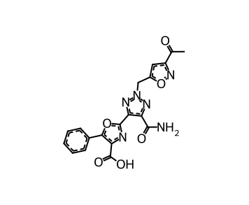 CC(=O)c1cc(Cn2nc(C(N)=O)c(-c3nc(C(=O)O)c(-c4ccccc4)o3)n2)on1